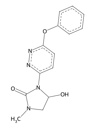 CN1CC(O)N(c2ccc(Oc3ccccc3)nn2)C1=O